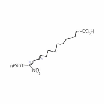 CCCCC/C(=C/C=C/CCCCCCCCC(=O)O)[N+](=O)[O-]